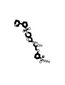 CNS(=O)(=O)c1cccc(OCC(O)CN[C@@H]2COC3(CCN(S(=O)(=O)c4cccc(-c5cccnc5)c4)CC3)C2)c1